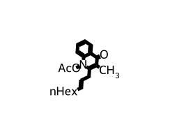 CCCCCCC=CCc1c(C)c(=O)c2ccccc2n1OC(C)=O